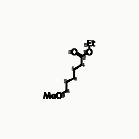 [CH2]COC(=O)CCCCCO[CH2]